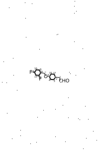 O=CCc1ccc(OCc2ccc(F)cc2F)cc1